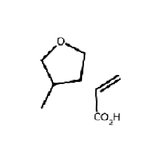 C=CC(=O)O.CC1CCOC1